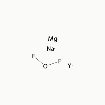 FOF.[Mg].[Na].[Y]